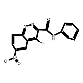 O=C(Nc1ccccc1)c1nnc2ccc([N+](=O)[O-])cc2c1O